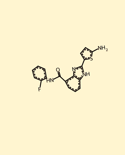 Nc1ccc(-c2nc3c(C(=O)Nc4ccccc4F)cccc3[nH]2)s1